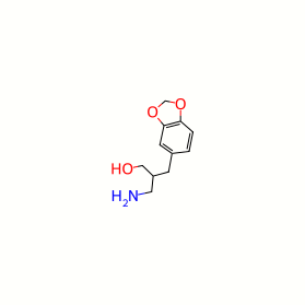 NCC(CO)Cc1ccc2c(c1)OCO2